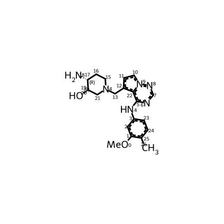 COc1cc(Nc2ncnn3ccc(CN4CC[C@@H](N)[C@H](O)C4)c23)ccc1C